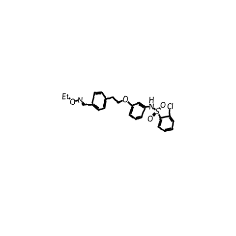 CCON=Cc1ccc(CCOc2cccc(NS(=O)(=O)c3ccccc3Cl)c2)cc1